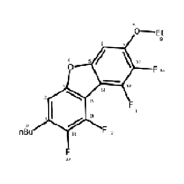 CCCCc1cc2oc3cc(OCC)c(F)c(F)c3c2c(F)c1F